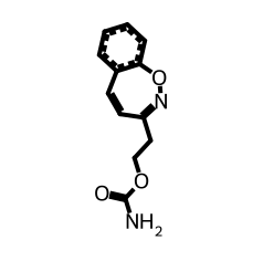 NC(=O)OCCC1=NOc2ccccc2C=C1